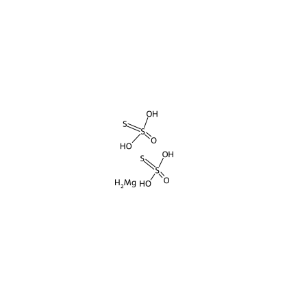 O=S(O)(O)=S.O=S(O)(O)=S.[MgH2]